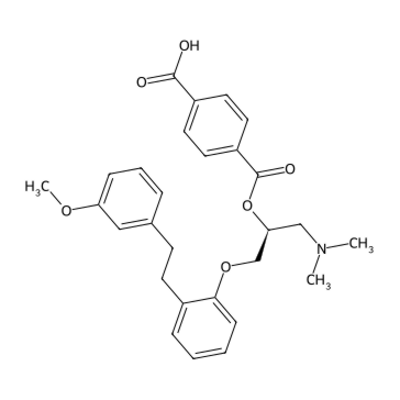 COc1cccc(CCc2ccccc2OC[C@H](CN(C)C)OC(=O)c2ccc(C(=O)O)cc2)c1